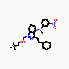 CN(c1cccc([N+](=O)[O-])c1)c1cccc2c1c(C=Cc1ccccc1)nn2COCC[Si](C)(C)C